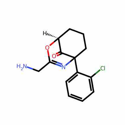 NCC1=NC2(c3ccccc3Cl)CCC[C@H](O1)C2=O